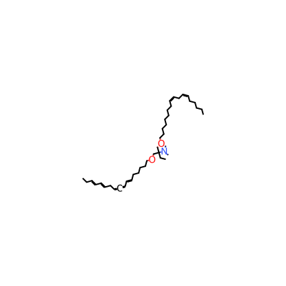 CC/C=C/C=C/CC=C=C/C=C/CCCCCOCC(CC)(COCCCCCCCC/C=C\C/C=C\CCCCC)N(C)C